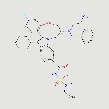 CN(CC=O)S(=O)(=O)NC(=O)c1ccc2c(C3CCCCC3)c3n(c2c1)C[C@@H](N(CCN)Cc1ccccc1)COc1cc(F)ccc1-3